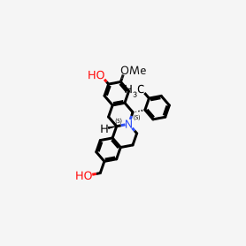 COc1cc2c(cc1O)C[C@H]1c3ccc(CO)cc3CCN1[C@H]2c1ccccc1C